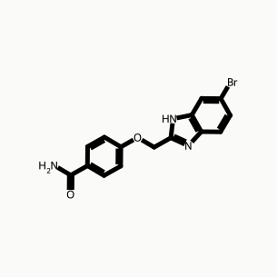 NC(=O)c1ccc(OCc2nc3ccc(Br)cc3[nH]2)cc1